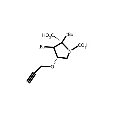 C#CCO[C@H]1CN(C(=O)O)[C@](C(=O)O)(C(C)(C)C)C1C(C)(C)C